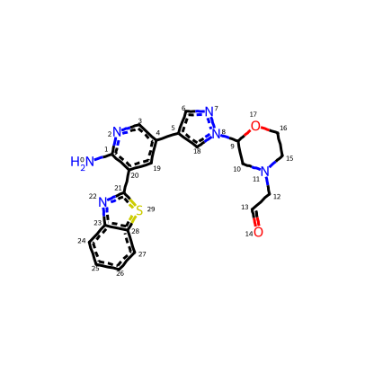 Nc1ncc(-c2cnn(C3CN(CC=O)CCO3)c2)cc1-c1nc2ccccc2s1